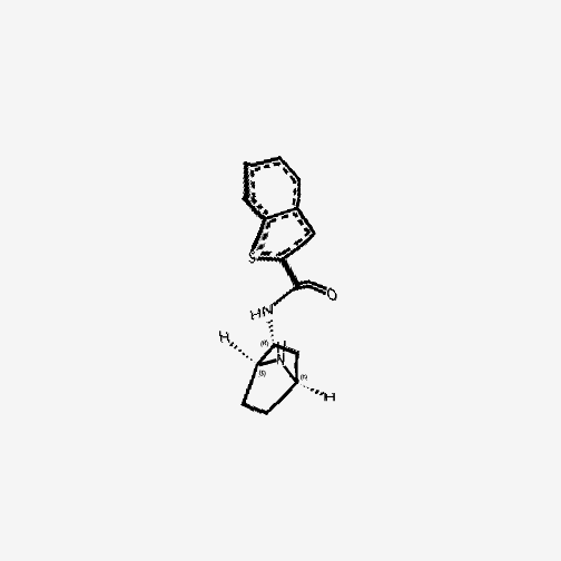 O=C(N[C@@H]1C[C@H]2CC[C@@H]1N2)c1cc2ccccc2s1